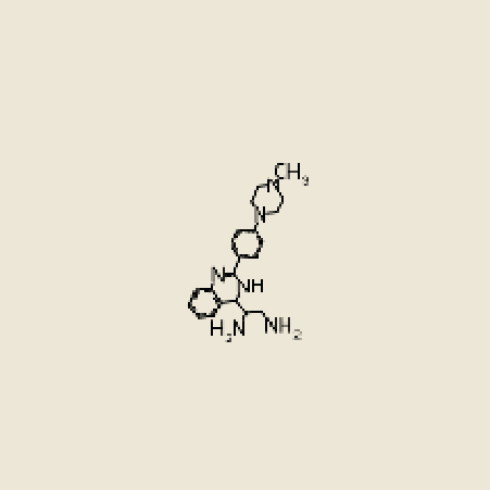 CN1CCN(c2ccc(C3=Nc4ccccc4C(C(N)CN)N3)cc2)CC1